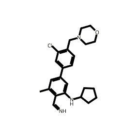 Cc1cc(-c2ccc(CN3CCOCC3)c(Cl)c2)cc(NC2CCCC2)c1C=N